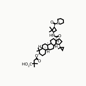 CC(C)(CC(=O)O[C@H]1CC[C@]2(C)[C@H]3CC[C@H]4C(CC[C@@]5(C(=O)N[C@@H]6C[C@H](C(=O)N7CCCCC7)C6(C)C)CC[C@@H](C6(C)CC6)[C@H]45)[C@]3(C)CC[C@H]2C1(C)C)C(=O)O